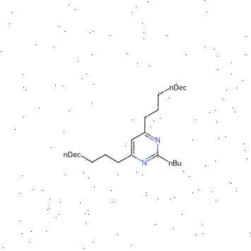 [CH2]CCCc1nc(CCCCCCCCCCCCC)cc(CCCCCCCCCCCCC)n1